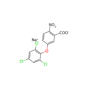 O=C([O-])c1cc(Oc2c(Cl)cc(Cl)cc2Cl)ccc1[N+](=O)[O-].[Na+]